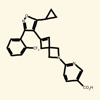 O=C(O)c1ccc(N2CC3(C=C(c4c(-c5ccccc5C(F)(F)F)noc4C4CC4)C3)C2)nc1